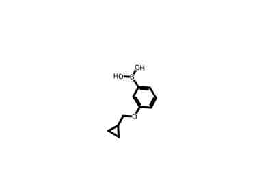 OB(O)c1cccc(OCC2CC2)c1